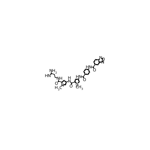 Cn1cc(NC(=O)c2cc(NC(=O)c3ccc(NC(=O)c4ccc5nonc5c4)cc3)cn2C)cc1C(=O)NCCC(=N)N